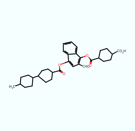 CC1CCC(C2CCC(C(=O)Oc3cc(C=O)c(OC(=O)C4CCC(C(=O)O)CC4)c4ccccc34)CC2)CC1